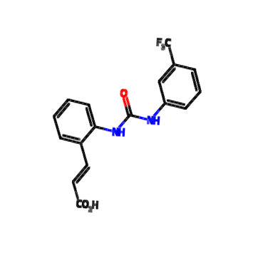 O=C(O)/C=C/c1ccccc1NC(=O)Nc1cccc(C(F)(F)F)c1